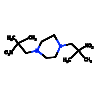 CC(C)(CN1CCN(CC(C)(C)[N+](=O)[O-])CC1)[N+](=O)[O-]